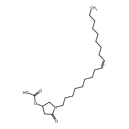 CCCCCCCC/C=C\CCCCCCCCN1CC(OC(=O)O)CC1=O